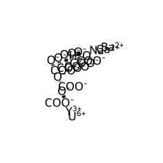 O.O=C([O-])[O-].O=C([O-])[O-].O=C([O-])[O-].O=C([O-])[O-].O=C([O-])[O-].O=C([O-])[O-].O=C([O-])[O-].[Ba+2].[Ca+2].[Na+].[U+6].[Y+3]